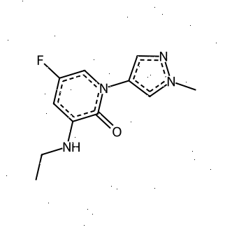 CCNc1cc(F)cn(-c2cnn(C)c2)c1=O